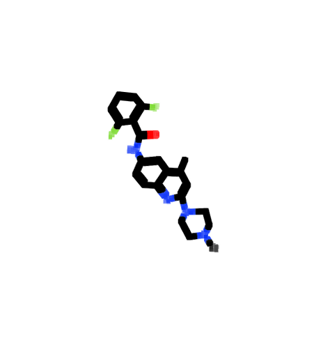 CCN1CCN(c2cc(C)c3cc(NC(=O)c4c(F)cccc4F)ccc3n2)CC1